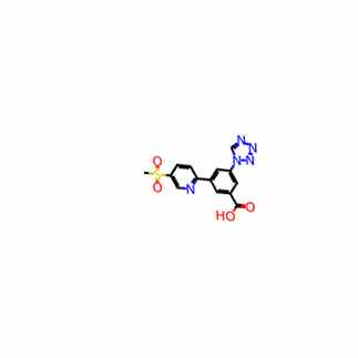 CS(=O)(=O)c1ccc(-c2cc(C(=O)O)cc(-n3cnnn3)c2)nc1